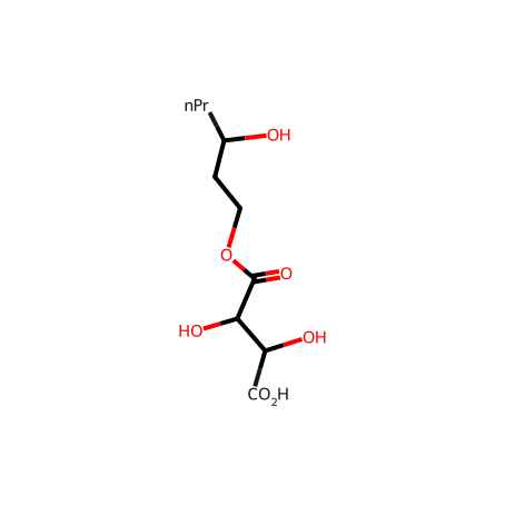 CCCC(O)CCOC(=O)C(O)C(O)C(=O)O